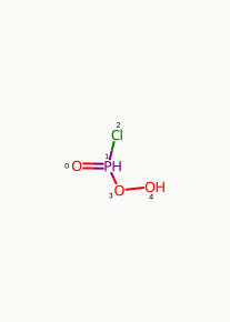 O=[PH](Cl)OO